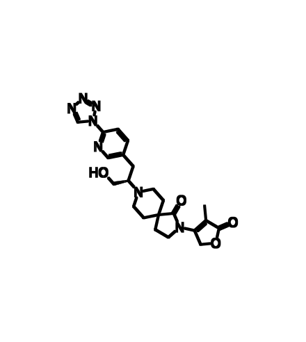 CC1=C(N2CCC3(CCN([C@@H](CO)Cc4ccc(-n5cnnn5)nc4)CC3)C2=O)COC1=O